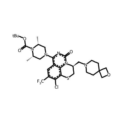 C[C@@H]1CN(c2nc(=O)n3c4c(c(Cl)c(C(F)(F)F)cc24)SC[C@@H]3CN2CCC3(CC2)COC3)C[C@H](C)N1C(=O)OC(C)(C)C